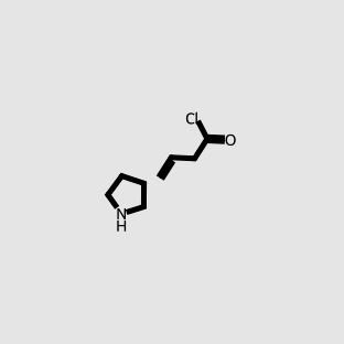 C1CCNC1.C=CCC(=O)Cl